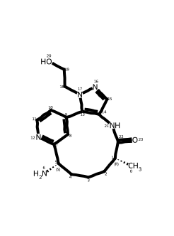 C[C@@H]1CCC[C@H](N)c2cc(ccn2)-c2c(cnn2CCO)NC1=O